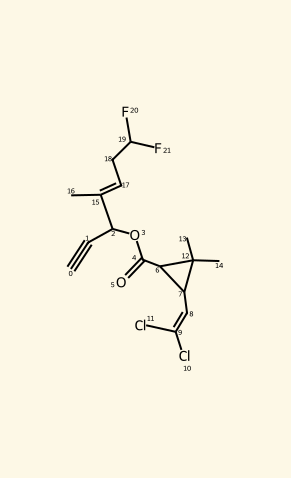 C#CC(OC(=O)C1C(C=C(Cl)Cl)C1(C)C)C(C)=CCC(F)F